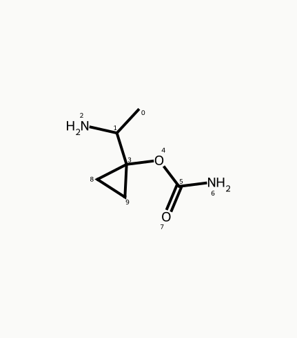 CC(N)C1(OC(N)=O)CC1